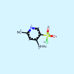 CC(=O)Nc1cc(C#N)ncc1S(=O)(=O)Cl